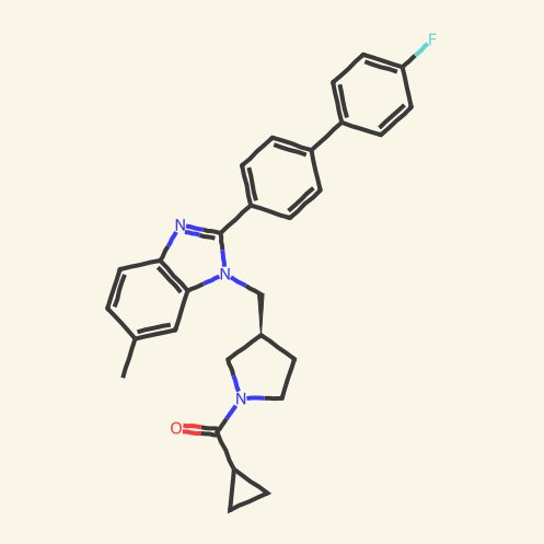 Cc1ccc2nc(-c3ccc(-c4ccc(F)cc4)cc3)n(C[C@H]3CCN(C(=O)C4CC4)C3)c2c1